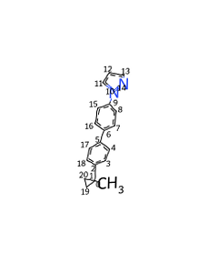 CC1(c2ccc(-c3ccc(-n4cccn4)cc3)cc2)CC1